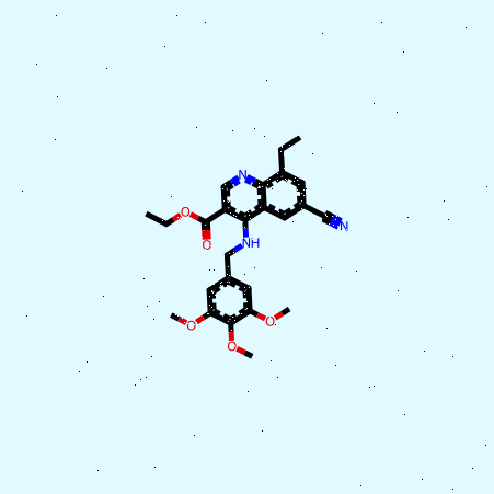 CCOC(=O)c1cnc2c(CC)cc(C#N)cc2c1NCc1cc(OC)c(OC)c(OC)c1